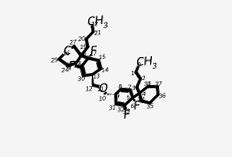 CCCCC1([C@@]2(F)C=C[C@@H](COC[C@@H]3C=C[C@](F)(C4(CCCC)CCCCC4)C(F)=C3)C=C2F)CCCCC1